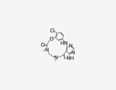 CN1CCN(C)C(=O)COc2cc(ccc2Cl)Nc2ncnc3[nH]cc(c23)C1